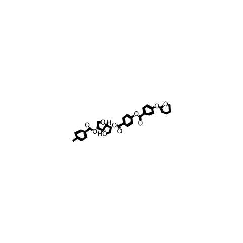 Cc1ccc(C(=O)O[C@@H]2CO[C@H]3[C@@H]2OC[C@H]3OC(=O)c2ccc(OC(=O)c3ccc(OC4CCCCO4)cc3)cc2)cc1